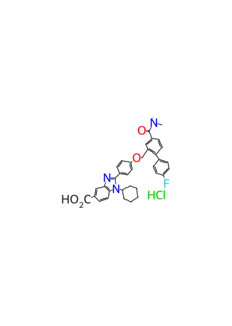 CN(C)C(=O)c1ccc(-c2ccc(F)cc2)c(COc2ccc(-c3nc4cc(C(=O)O)ccc4n3C3CCCCC3)cc2)c1.Cl